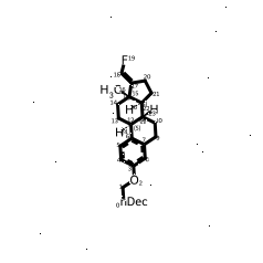 CCCCCCCCCCCOc1ccc2c(c1)CC[C@@H]1[C@@H]2CC[C@]2(C)C(=CF)CC[C@@H]12